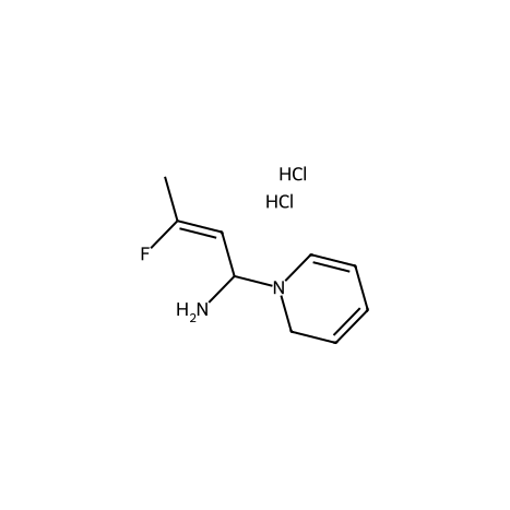 CC(F)=CC(N)N1C=CC=CC1.Cl.Cl